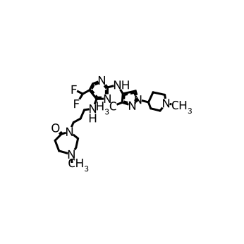 Cc1nn(C2CCN(C)CC2)cc1Nc1ncc(C(F)F)c(NCCCN2CCN(C)CCC2=O)n1